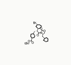 CC(C)(C)OC(=O)c1ccc(C[C@@H](C(=O)N2C(=O)OC[C@H]2Cc2ccccc2)c2cccc(Br)c2)cc1